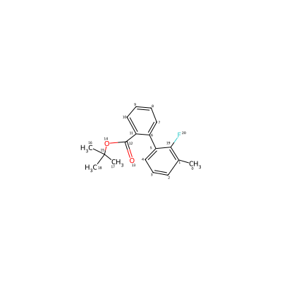 Cc1cccc(-c2ccccc2C(=O)OC(C)(C)C)c1F